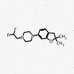 CC1(C)Cc2ccc(N3CCN(CC(F)F)CC3)cc2O1